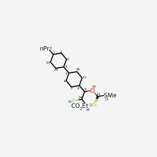 CCCC1CCC(C2CCC(C(OC(=S)SC)C(F)C(=O)OCC)CC2)CC1